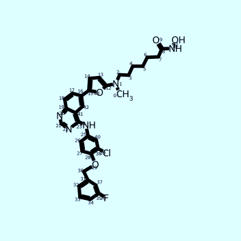 CN(CCCCCCC(=O)NO)c1ccc(-c2ccc3ncnc(Nc4ccc(OCc5cccc(F)c5)c(Cl)c4)c3c2)o1